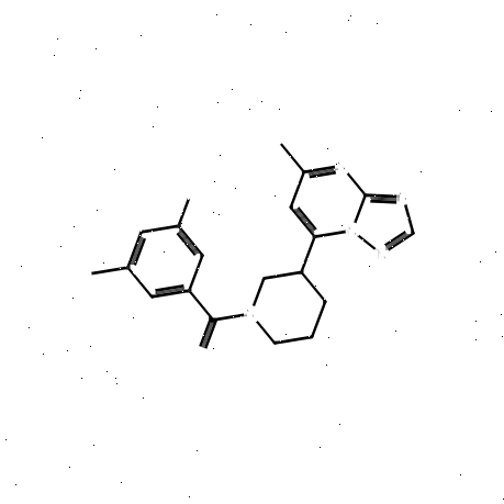 Cc1cc(Cl)cc(C(=O)N2CCCC(c3cc(C)nc4ncnn34)C2)c1